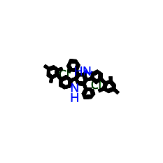 Cc1cc(C)c(-c2ccc3[nH]c4c(-c5ccccc5Cl)c5c([nH]c6ccc(-c7c(C)cc(C)cc7C)cc65)c(-c5ccccc5Cl)c4c3c2)c(C)c1